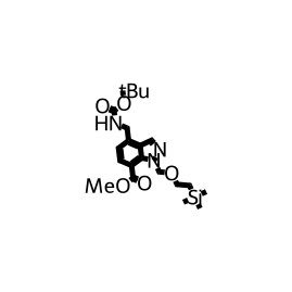 COC(=O)c1ccc(CNC(=O)OC(C)(C)C)c2cnn(COCC[Si](C)(C)C)c12